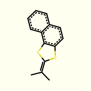 CC(C)=C1Sc2ccc3ccccc3c2S1